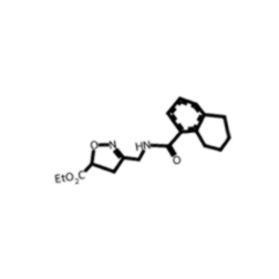 CCOC(=O)C1CC(CNC(=O)c2cccc3c2CCCC3)=NO1